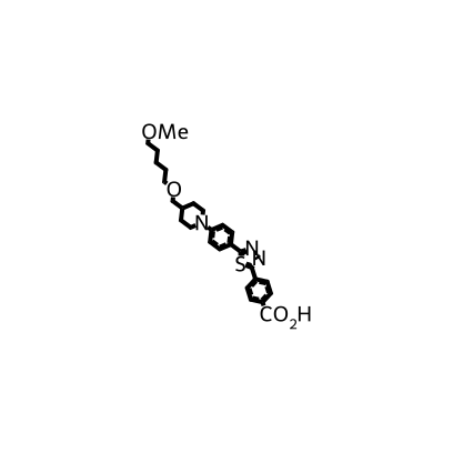 COCCCCCOCC1CCN(c2ccc(-c3nnc(-c4ccc(C(=O)O)cc4)s3)cc2)CC1